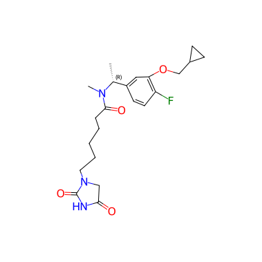 C[C@H](c1ccc(F)c(OCC2CC2)c1)N(C)C(=O)CCCCCN1CC(=O)NC1=O